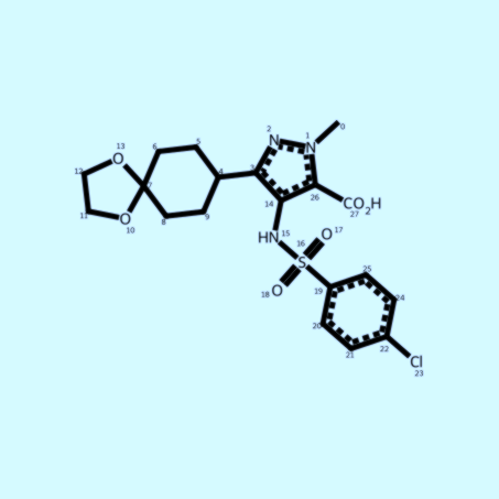 Cn1nc(C2CCC3(CC2)OCCO3)c(NS(=O)(=O)c2ccc(Cl)cc2)c1C(=O)O